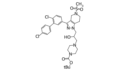 CC(C)(C)OC(=O)N1CCN(CC(O)Cn2nc(-c3ccc(Cl)c(-c4ccc(Cl)cc4)c3)c3c2CCN(S(C)(=O)=O)C3)CC1